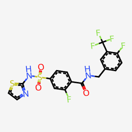 O=C(NCc1ccc(F)c(C(F)(F)F)c1)c1ccc(S(=O)(=O)Nc2nccs2)cc1F